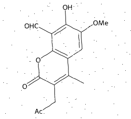 COc1cc2c(C)c(CC(C)=O)c(=O)oc2c(C=O)c1O